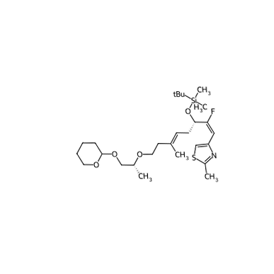 C/C(=C\C[C@H](O[Si](C)(C)C(C)(C)C)/C(F)=C\c1csc(C)n1)CCO[C@H](C)COC1CCCCO1